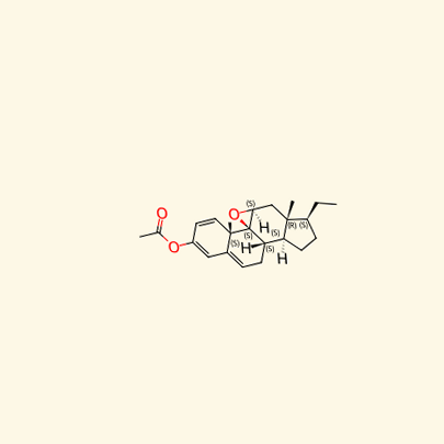 CC[C@H]1CC[C@H]2[C@@H]3CC=C4C=C(OC(C)=O)C=C[C@]4(C)[C@@]34O[C@H]4C[C@]12C